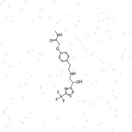 CNC(=O)COc1ccc(CCNCC(O)c2csc(C(F)(F)F)n2)cc1